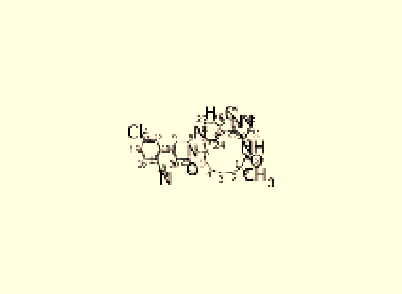 C[C@@H]1CCCC[C@H](N2CCC(c3cc(Cl)ccc3C#N)=CC2=O)c2cc(ccn2)-c2c(cnn2C)NC1=O